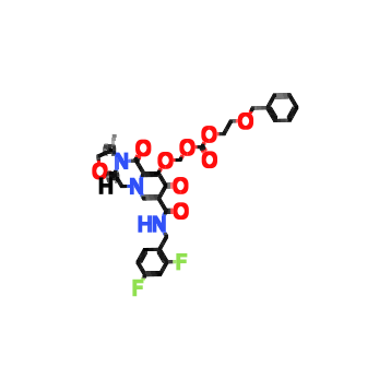 C[C@H]1CO[C@@H]2Cn3cc(C(=O)NCc4ccc(F)cc4F)c(=O)c(OCOC(=O)OCCOCc4ccccc4)c3C(=O)N12